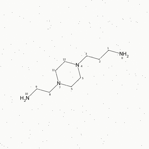 NCCCN1CCN(CCN)CC1